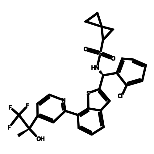 C[C@](O)(c1ccnc(-c2cccc3cc([C@H](NS(=O)(=O)C4CC45CC5)c4ccccc4Cl)sc23)c1)C(F)(F)F